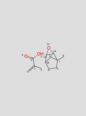 C=C(C)C(=O)O.CC12CCC(C1)C1OC12